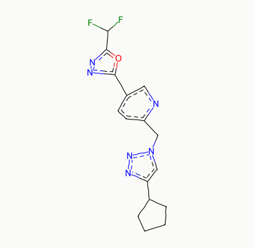 FC(F)c1nnc(-c2ccc(Cn3cc(C4CCCC4)nn3)nc2)o1